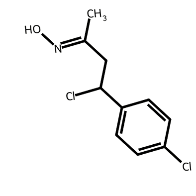 CC(CC(Cl)c1ccc(Cl)cc1)=NO